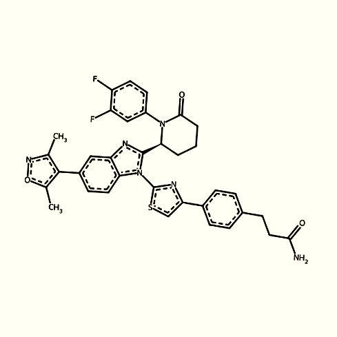 Cc1noc(C)c1-c1ccc2c(c1)nc([C@@H]1CCCC(=O)N1c1ccc(F)c(F)c1)n2-c1nc(-c2ccc(CCC(N)=O)cc2)cs1